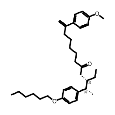 C=C(CCCCCC(=O)C[C@H](CC)[C@H](C)c1ccc(OCCCCCC)cc1)c1ccc(OC)cc1